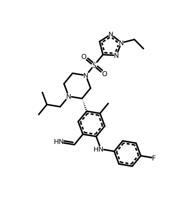 CCn1ncc(S(=O)(=O)N2CCN(CC(C)C)[C@@H](c3cc(C=N)c(Nc4ccc(F)cc4)cc3C)C2)n1